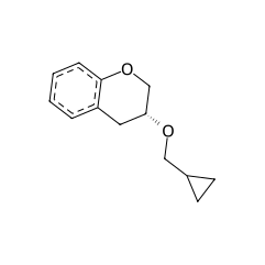 c1ccc2c(c1)C[C@@H](OCC1CC1)CO2